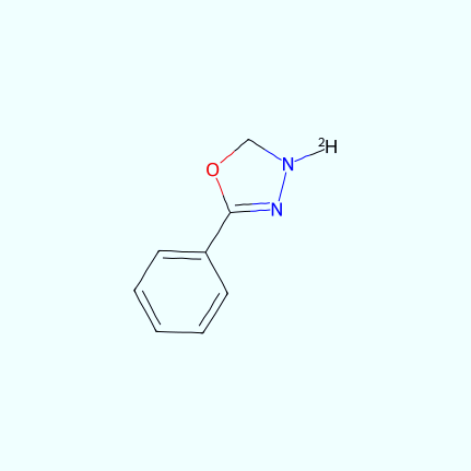 [2H]N1COC(c2ccccc2)=N1